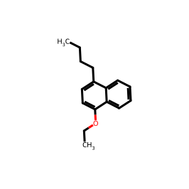 CCCCc1ccc(OCC)c2ccccc12